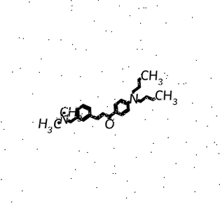 CCCCN(CCCC)c1ccc(C(=O)C=Cc2cccc(CN(C)C)c2)cc1